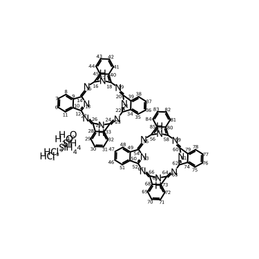 Cl.Cl.O.O.[SiH4].[SiH4].c1ccc2c(c1)-c1nc-2nc2[nH]c(nc3nc(nc4[nH]c(n1)c1ccccc41)-c1ccccc1-3)c1ccccc21.c1ccc2c(c1)-c1nc-2nc2[nH]c(nc3nc(nc4[nH]c(n1)c1ccccc41)-c1ccccc1-3)c1ccccc21